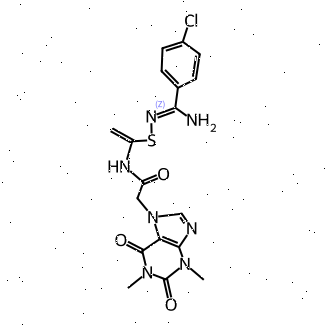 C=C(NC(=O)Cn1cnc2c1c(=O)n(C)c(=O)n2C)S/N=C(\N)c1ccc(Cl)cc1